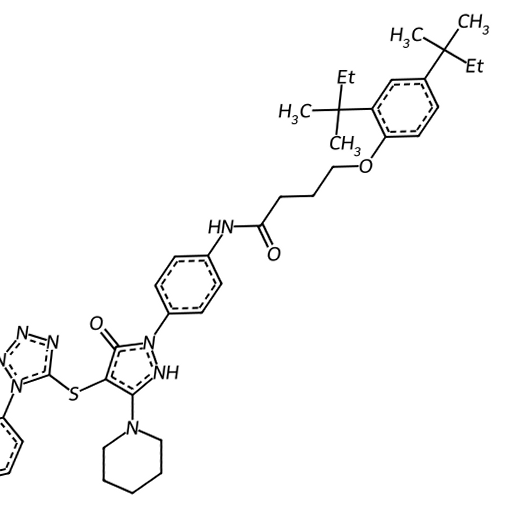 CCC(C)(C)c1ccc(OCCCC(=O)Nc2ccc(-n3[nH]c(N4CCCCC4)c(Sc4nnnn4-c4ccccc4)c3=O)cc2)c(C(C)(C)CC)c1